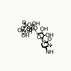 Cn1c(=N)ccn([C@@H]2O[C@H](COP(=O)(O)OP(=O)(O)OP(=O)(O)O)[C@H](O)C2O)c1=O